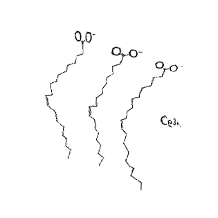 CCCCCCCC/C=C\CCCCCCCCCC(=O)[O-].CCCCCCCC/C=C\CCCCCCCCCC(=O)[O-].CCCCCCCC/C=C\CCCCCCCCCC(=O)[O-].[Ce+3]